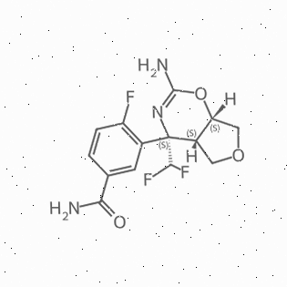 NC(=O)c1ccc(F)c([C@@]2(C(F)F)N=C(N)O[C@@H]3COC[C@@H]32)c1